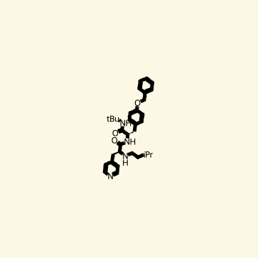 CC(C)CCN[C@@H](Cc1ccncc1)C(=O)N[C@@H](Cc1ccc(OCc2ccccc2)cc1)C(=O)NC(C)(C)C